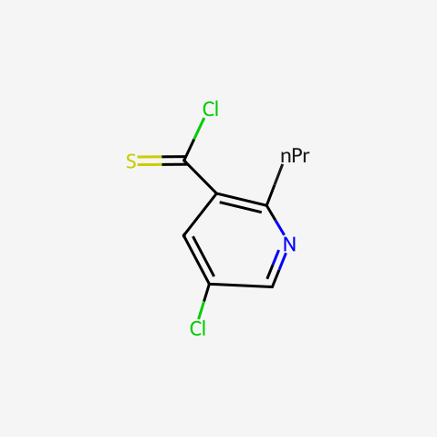 CCCc1ncc(Cl)cc1C(=S)Cl